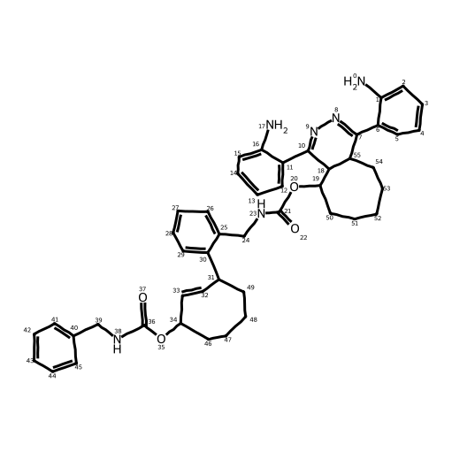 Nc1ccccc1C1=NN=C(c2ccccc2N)C2C(OC(=O)NCc3ccccc3C3/C=C/C(OC(=O)NCc4ccccc4)CCCC3)CCCCCC12